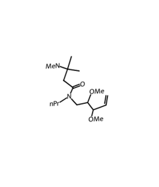 C=CC(OC)C(CN(CCC)C(=O)CC(C)(C)NC)OC